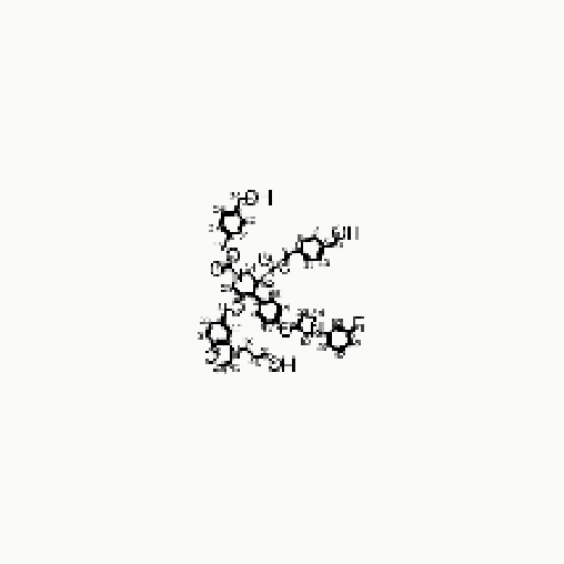 O=C(OCc1ccc(CO)cc1)OC1CN(C(=O)OCc2ccc(CO)cc2)CC(OCc2ccc3c(c2)N(CCCO)CCO3)C1c1ccc(OC2CCN(c3cccc(F)c3)C2)cc1